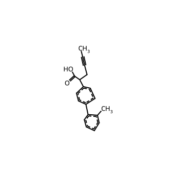 CC#CCC(C(=O)O)c1ccc(-c2ccccc2C)cc1